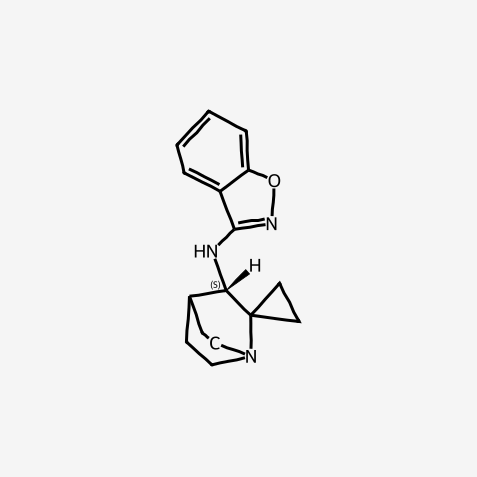 c1ccc2c(N[C@H]3C4CCN(CC4)C34CC4)noc2c1